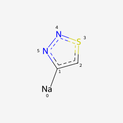 [Na][c]1csnn1